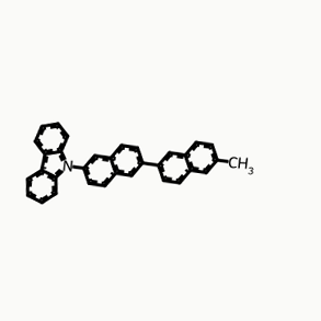 Cc1ccc2cc(-c3ccc4cc(-n5c6ccccc6c6ccccc65)ccc4c3)ccc2c1